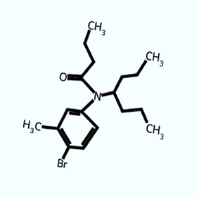 CCCC(=O)N(c1ccc(Br)c(C)c1)C(CCC)CCC